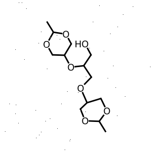 CC1OCC(OCC(CO)OC2COC(C)OC2)CO1